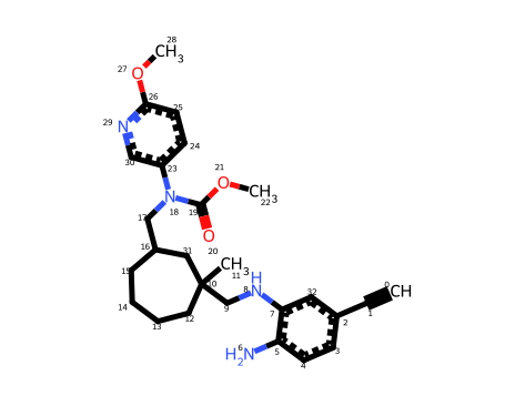 C#Cc1ccc(N)c(NCC2(C)CCCCC(CN(C(=O)OC)c3ccc(OC)nc3)C2)c1